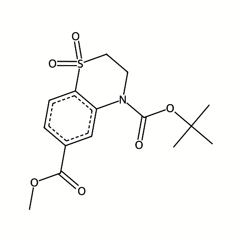 COC(=O)c1ccc2c(c1)N(C(=O)OC(C)(C)C)CCS2(=O)=O